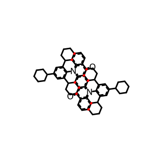 O=c1c2ccccc2n(-c2c(C3CCCCC3)cc(C3CCCCC3)cc2C2CCCCC2)c2cc3c(=O)c4ccccc4n(-c4c(C5CCCCC5)cc(C5CCCCC5)cc4C4CCCCC4)c3cc12